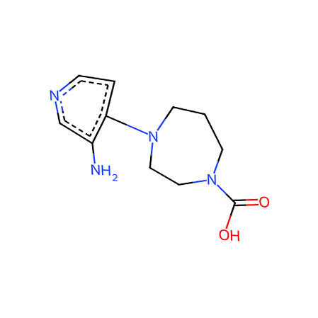 Nc1cnccc1N1CCCN(C(=O)O)CC1